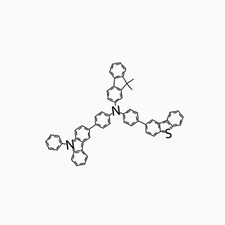 CC1(C)c2ccccc2-c2ccc(N(c3ccc(-c4ccc5sc6ccccc6c5c4)cc3)c3ccc(-c4ccc5c(c4)c4ccccc4n5-c4ccccc4)cc3)cc21